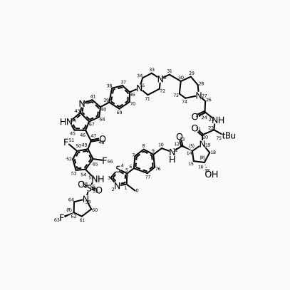 Cc1ncsc1-c1ccc(CNC(=O)[C@@H]2C[C@@H](O)CN2C(=O)C(NC(=O)CN2CCC(CN3CCN(c4ccc(-c5cnc6[nH]cc(C(=O)c7c(F)ccc(NS(=O)(=O)N8CC[C@@H](F)C8)c7F)c6c5)cc4)CC3)CC2)C(C)(C)C)cc1